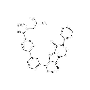 CC(C)Cn1cnnc1-c1ccc(-c2cncc(-c3ccnc4c3cc3n4CCN(c4ccccn4)C3=O)c2)cc1